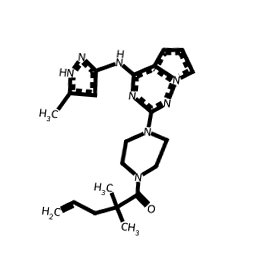 C=CCC(C)(C)C(=O)N1CCN(c2nc(Nc3cc(C)[nH]n3)c3cccn3n2)CC1